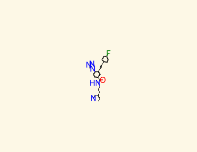 C/C=C(\C=N/C)CCCNC(=O)c1ccc(-n2cnnc2)c(C#Cc2ccc(F)cc2)c1